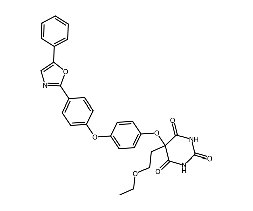 CCOCCC1(Oc2ccc(Oc3ccc(-c4ncc(-c5ccccc5)o4)cc3)cc2)C(=O)NC(=O)NC1=O